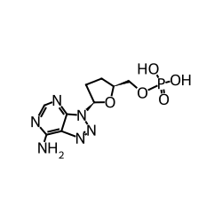 Nc1ncnc2c1nnn2[C@H]1CC[C@@H](COP(=O)(O)O)O1